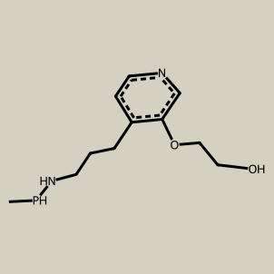 CPNCCCc1ccncc1OCCO